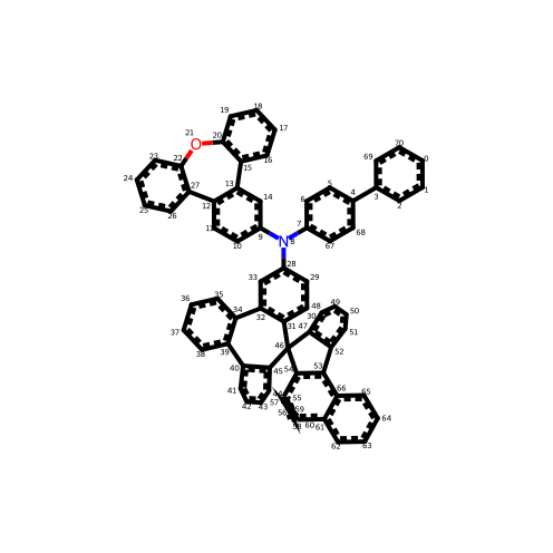 c1ccc(-c2ccc(N(c3ccc4c(c3)-c3ccccc3Oc3ccccc3-4)c3ccc4c(c3)-c3ccccc3-c3ccccc3C43c4ccccc4-c4c3c3ccccc3c3ccccc43)cc2)cc1